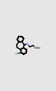 CNCCN=C1c2ccccc2CCc2c(Cl)cccc21